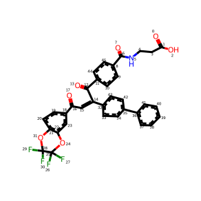 O=C(O)CCNC(=O)c1ccc(C(=O)/C(=C\C(=O)c2ccc3c(c2)OC(F)(F)C(F)(F)O3)c2ccc(-c3ccccc3)cc2)cc1